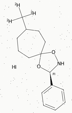 I.[2H]C([2H])([2H])C1CCCC2(CC1)ON[C@@H](c1ccccc1)O2